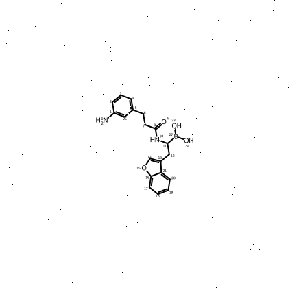 Nc1cccc(CCC(=O)NC(Cc2coc3ccccc23)B(O)O)c1